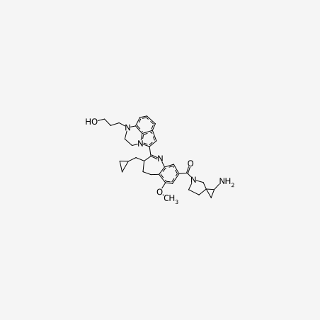 COc1cc(C(=O)N2CCC3(CC3N)C2)cc2c1CCC(CC1CC1)C(c1cc3cccc4c3n1CCN4CCCO)=N2